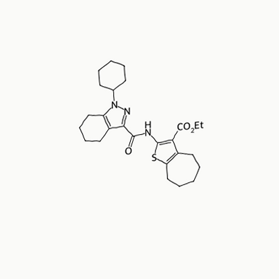 CCOC(=O)c1c(NC(=O)c2nn(C3CCCCC3)c3c2CCCC3)sc2c1CCCCC2